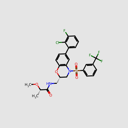 CO[C@@H](C)C(=O)NC[C@H]1CN(S(=O)(=O)c2cccc(C(F)(F)F)c2)c2cc(-c3cccc(F)c3Cl)ccc2O1